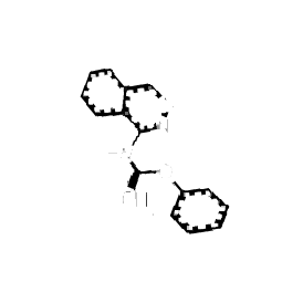 C=C(Nc1nncc2ccccc12)Oc1ccccc1